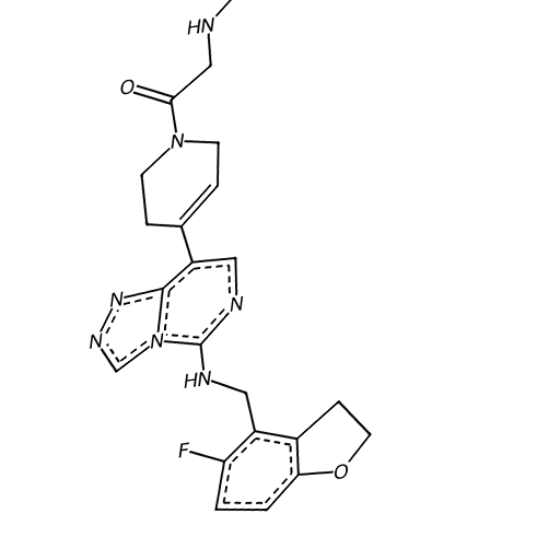 CNCC(=O)N1CC=C(c2cnc(NCc3c(F)ccc4c3CCO4)n3cnnc23)CC1